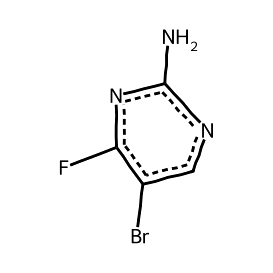 Nc1ncc(Br)c(F)n1